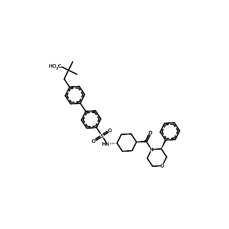 CC(C)(Cc1ccc(-c2ccc(S(=O)(=O)N[C@H]3CC[C@H](C(=O)N4CCOC[C@@H]4c4ccccc4)CC3)cc2)cc1)C(=O)O